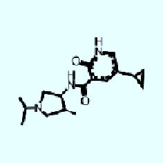 CC(C)N1C[C@H](C)[C@H](NC(=O)c2cc(C3CC3)c[nH]c2=O)C1